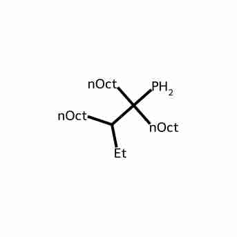 CCCCCCCCC(CC)C(P)(CCCCCCCC)CCCCCCCC